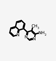 Cc1c(N)ncnc1-c1cccc2cccnc12